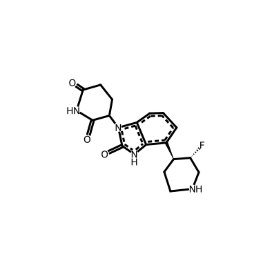 O=C1CCC(n2c(=O)[nH]c3c([C@@H]4CCNC[C@H]4F)cccc32)C(=O)N1